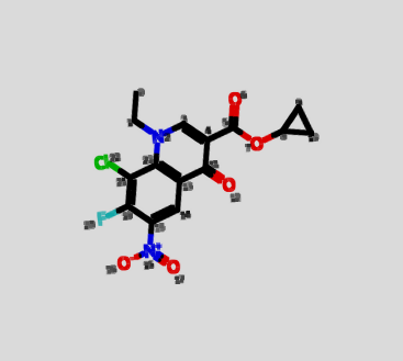 CCn1cc(C(=O)OC2CC2)c(=O)c2cc([N+](=O)[O-])c(F)c(Cl)c21